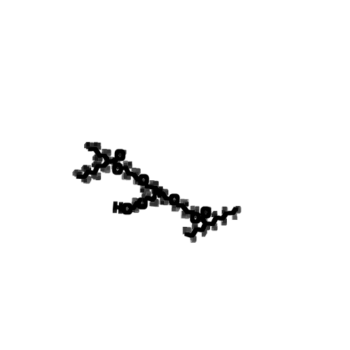 CCCCCCC(CCCC)C(=O)OCCCCOCCN(CCOCCO)CCOCCCCOC(=O)C(CCCC)CCCCCC